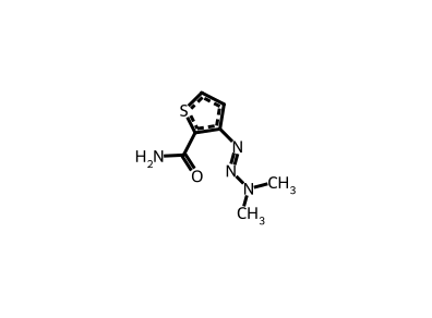 CN(C)N=Nc1ccsc1C(N)=O